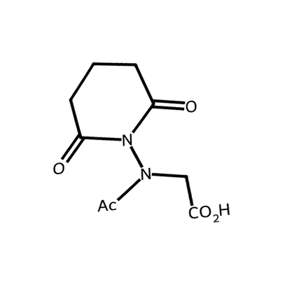 CC(=O)N(CC(=O)O)N1C(=O)CCCC1=O